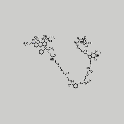 CC/N=c1\ccc2c(-c3ccccc3C(=O)N(C)CCCC(=O)NCCOCCOCCC(=O)CCCNC(=O)c3cccc(OCC(N=[N+]=[N-])OCCOCC(=O)NCC#Cc4cn(C5CC(OCN=[N+]=[N-])C(COP(=O)(O)OP(=O)(O)OP(=O)(O)O)O5)c5nc(N)[nH]c(=O)c45)c3)c3ccc(NCC)c(S(=O)(=O)O)c3oc-2c1S(=O)(=O)O